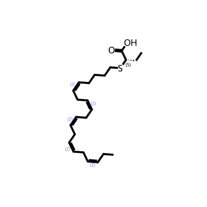 CC/C=C\C/C=C\C/C=C\C/C=C\C/C=C\CCCCS[C@@H](CC)C(=O)O